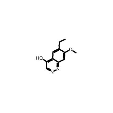 CCc1cc2c(O)cnnc2cc1OC